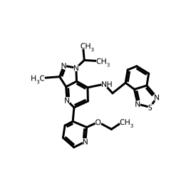 CCOc1ncccc1-c1cc(NCc2cccc3nsnc23)c2c(n1)c(C)nn2C(C)C